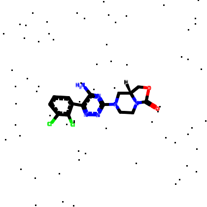 Nc1nc(N2CCN3C(=O)OC[C@H]3C2)nnc1-c1cccc(Cl)c1Cl